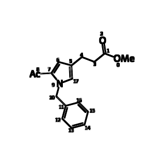 COC(=O)CCc1cc(C(C)=O)n(Cc2ccccc2)c1